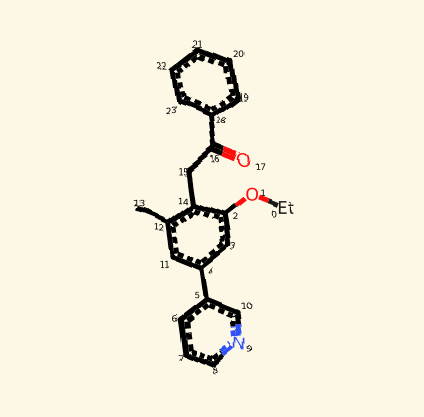 CCOc1cc(-c2cccnc2)cc(C)c1CC(=O)c1ccccc1